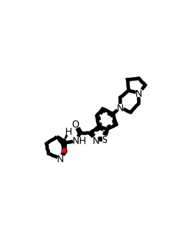 O=C(N[C@@H]1CN2CCC1CC2)c1nsc2cc(N3CCN4CCCC4C3)ccc12